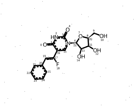 O=c1[nH]c(=O)n([C@H]2O[C@@H](CO)C(O)C2O)cc1C(F)=Cc1ccccc1